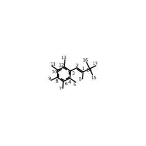 C/C(=C\c1c(C)c(C)c(C)c(C)c1C)C(C)(C)C